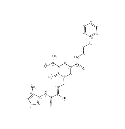 C=C/C(=C\N=C(/C)C(=O)Nc1cscc1N)CN(CCN(C)C)C(=O)NCCCc1ccccc1